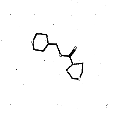 O=C(OCC1CCOCC1)C1CCOCC1